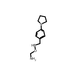 NCOBCc1ccc(N2CCCC2)cc1